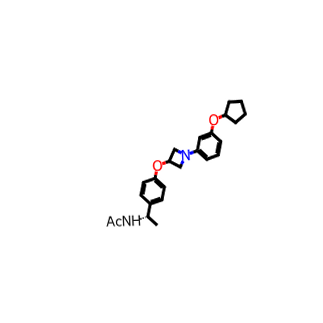 CC(=O)N[C@@H](C)c1ccc(OC2CN(c3cccc(OC4CCCC4)c3)C2)cc1